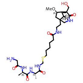 CC[C@H]1C2=C(CO)C(=O)NCC1(CCNC(=O)CCCCCSCNC(=O)[C@H](C)NC(=O)[C@@H](C)NC(=O)CN)C[C@H]2OC